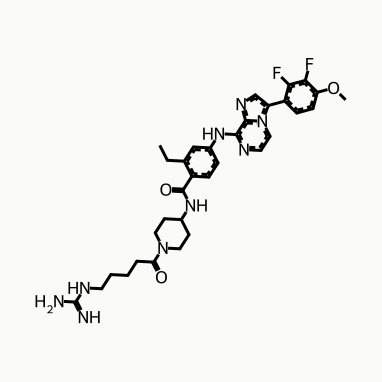 CCc1cc(Nc2nccn3c(-c4ccc(OC)c(F)c4F)cnc23)ccc1C(=O)NC1CCN(C(=O)CCCCNC(=N)N)CC1